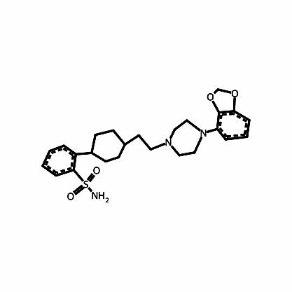 NS(=O)(=O)c1ccccc1C1CCC(CCN2CCN(c3cccc4c3OCO4)CC2)CC1